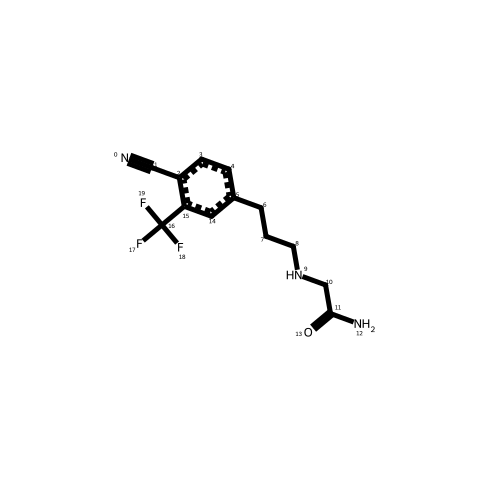 N#Cc1ccc(CCCNCC(N)=O)cc1C(F)(F)F